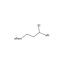 C[CH]CC(CC)CCCCCCC